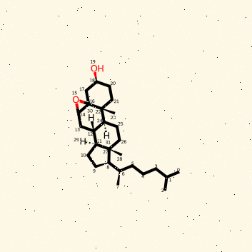 CC(C)CCC[C@@H](C)[C@H]1CC[C@H]2[C@@H]3CC4OC45C[C@@H](O)CC[C@]5(C)[C@H]3CC[C@]12C